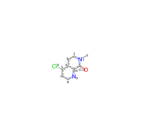 Cn1ccc2c(Cl)ccnc2c1=O